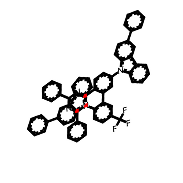 FC(F)(F)c1ccc(-n2c3ccccc3c3cc(-c4ccccc4)ccc32)c(-c2cc(-n3c4ccccc4c4cc(-c5ccccc5)ccc43)ccc2-c2nc(-c3ccccc3)nc(-c3ccccc3)n2)c1